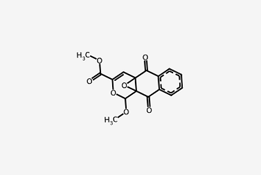 COC(=O)C1=CC23OC2(C(=O)c2ccccc2C3=O)C(OC)O1